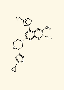 Cc1nc2cc([C@H]3CCO[C@@H](c4cnn(C5CC5)c4)C3)nc(C34CC(C3)C(C(F)(F)F)C4)c2nc1C